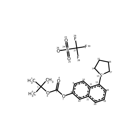 CC(C)(C)OC(=O)Oc1ccc2c([S+]3CCCC3)cccc2c1.O=S(=O)([O-])C(F)(F)F